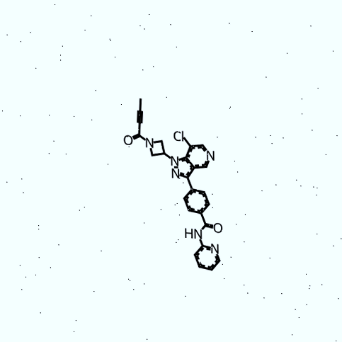 CC#CC(=O)N1CC(n2nc(-c3ccc(C(=O)Nc4ccccn4)cc3)c3cncc(Cl)c32)C1